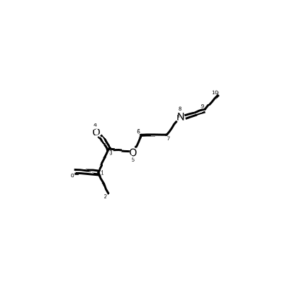 C=C(C)C(=O)OCCN=CC